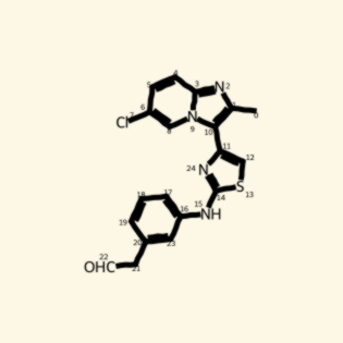 Cc1nc2ccc(Cl)cn2c1-c1csc(Nc2cccc(CC=O)c2)n1